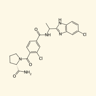 CC(NC(=O)c1ccc(C(=O)N2CCC[C@H]2C(N)=O)c(Cl)c1)c1nc2cc(Cl)ccc2[nH]1